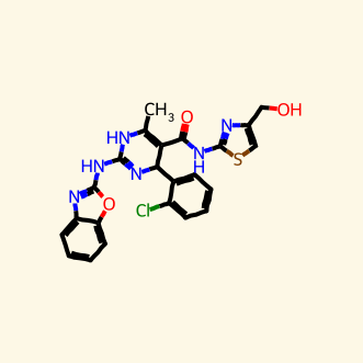 CC1=C(C(=O)Nc2nc(CO)cs2)C(c2ccccc2Cl)N=C(Nc2nc3ccccc3o2)N1